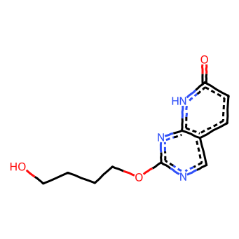 O=c1ccc2cnc(OCCCCO)nc2[nH]1